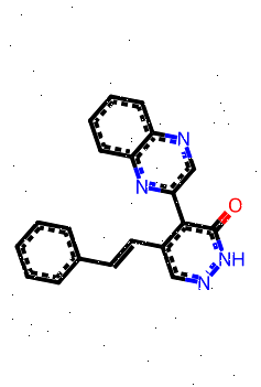 O=c1[nH]ncc(C=Cc2ccccc2)c1-c1cnc2ccccc2n1